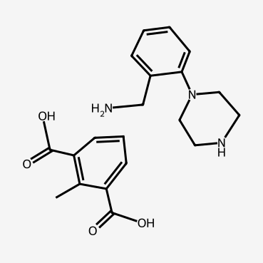 Cc1c(C(=O)O)cccc1C(=O)O.NCc1ccccc1N1CCNCC1